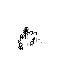 NC(=O)C1CCNCC1.O=C(NC(c1ccc(Cl)cc1)c1ccccn1)C1CCN(CCOc2ccc3ncsc3c2)CC1